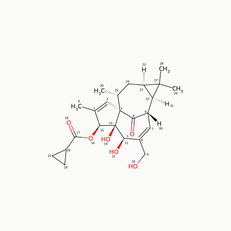 CC1=C[C@]23C(=O)[C@@H](C=C(CO)[C@@H](O)[C@]2(O)[C@H]1OC(=O)C1CC1)[C@H]1[C@@H](C[C@H]3C)C1(C)C